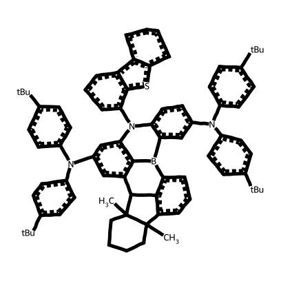 CC(C)(C)c1ccc(N(c2ccc(C(C)(C)C)cc2)c2ccc3c(c2)B2c4cccc5c4C(c4cc(N(c6ccc(C(C)(C)C)cc6)c6ccc(C(C)(C)C)cc6)cc(c42)N3c2cccc3c2sc2ccccc23)C2(C)CCCCC52C)cc1